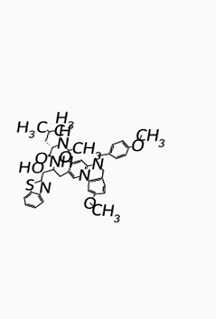 COc1ccc(CN(Cc2ccc(OC)cc2)c2ccc(CC(NC(=O)[C@H](CC(C)C)NC(C)=O)C(O)c3nc4ccccc4s3)cn2)cc1